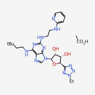 CC(=O)O.CCn1nnc([C@H]2O[C@@H](n3cnc4c(NCCC(C)(C)C)nc(NCCNc5ccccn5)nc43)[C@H](O)[C@@H]2O)n1